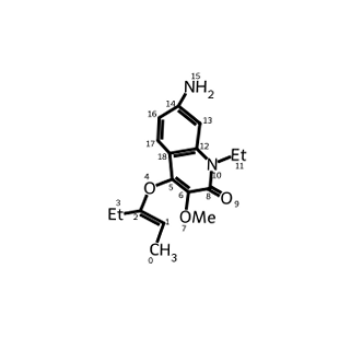 CC=C(CC)Oc1c(OC)c(=O)n(CC)c2cc(N)ccc12